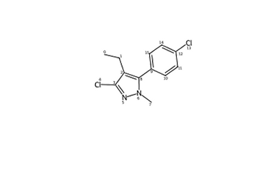 CCc1c(Cl)nn(C)c1-c1ccc(Cl)cc1